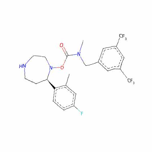 Cc1cc(F)ccc1[C@H]1CCNCCN1OC(=O)N(C)Cc1cc(C(F)(F)F)cc(C(F)(F)F)c1